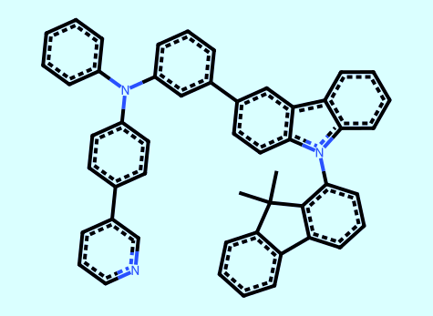 CC1(C)c2ccccc2-c2cccc(-n3c4ccccc4c4cc(-c5cccc(N(c6ccccc6)c6ccc(-c7cccnc7)cc6)c5)ccc43)c21